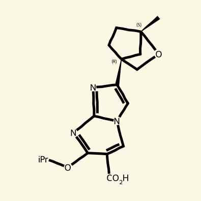 CC(C)Oc1nc2nc([C@@]34CC[C@@](C)(C3)OC4)cn2cc1C(=O)O